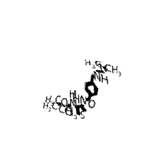 CN(C)CCNCc1ccc(C(=O)Nc2cscc2NC(=O)OC(C)(C)C)cc1